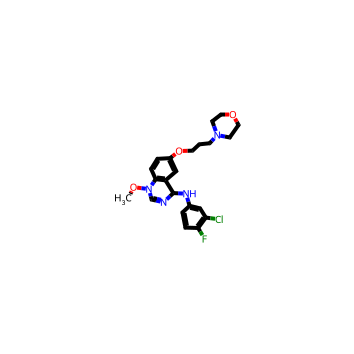 CON1C=NC(Nc2ccc(F)c(Cl)c2)c2cc(OCCCN3CCOCC3)ccc21